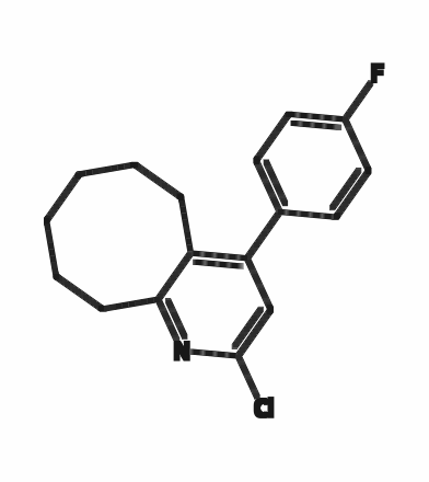 Fc1ccc(-c2cc(Cl)nc3c2CCCCCC3)cc1